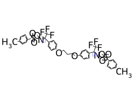 Cc1ccc(S(=O)(=O)O/N=C(/c2ccc(OCCCOc3ccc(/C(=N/OS(=O)(=O)c4ccc(C)cc4)C(F)(F)F)cc3)cc2)C(F)(F)F)cc1